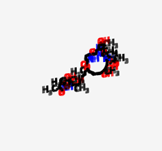 CC[C@H]1C[C@H](C)[C@@]2(NC1=O)O[C@@H](C[C@H](O)[C@@H](C)CC/C=C/C=C(\C)[C@@H]1C/C=C/C=C/[C@H](O)[C@H](C)[C@@H](O)[C@@H](CCC(C)=O)C(=O)N[C@@H](C(C)C)C(=O)NC(Cc3ccc(C)c(O)c3)C(=O)N3CCCC(N3)C(=O)O1)[C@H](C)[C@H](O)[C@@H]2C